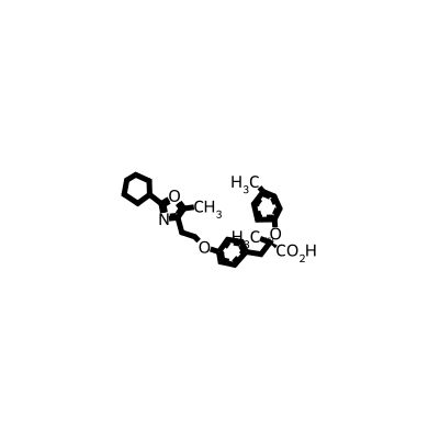 Cc1ccc(O[C@@](C)(Cc2ccc(OCCc3nc(C4CCCCC4)oc3C)cc2)C(=O)O)cc1